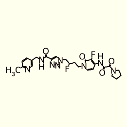 Cc1ccc(CNC(=O)c2cn(CC(F)CCn3ccc(NC(=O)C(=O)N4CCCC4)c(F)c3=O)nn2)cn1